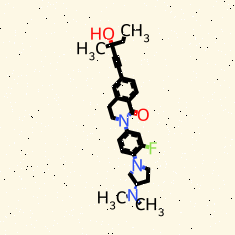 CCC(C)(O)C#Cc1ccc2c(c1)CCN(c1ccc(N3CC[C@@H](N(C)C)C3)c(F)c1)C2=O